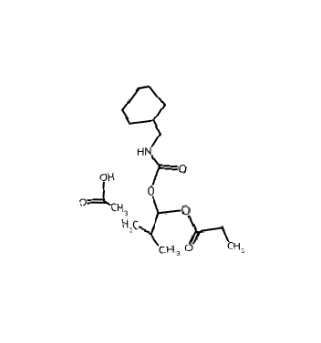 CC(=O)O.CCC(=O)OC(OC(=O)NCC1CCCCC1)C(C)C